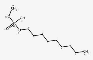 CCCCCCCCCOP(=O)(O)OC